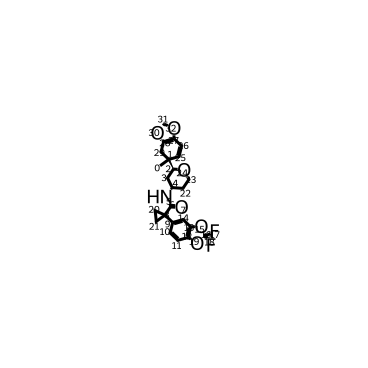 CC1([C@@H]2C[C@H](NC(=O)C3(c4ccc5c(c4)OC(F)(F)O5)CC3)CCO2)C=CC2=C(C1)OCO2